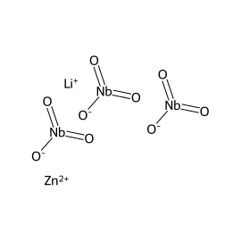 [Li+].[O]=[Nb](=[O])[O-].[O]=[Nb](=[O])[O-].[O]=[Nb](=[O])[O-].[Zn+2]